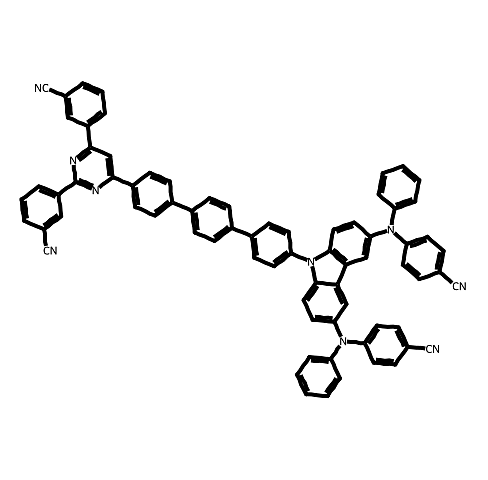 N#Cc1ccc(N(c2ccccc2)c2ccc3c(c2)c2cc(N(c4ccccc4)c4ccc(C#N)cc4)ccc2n3-c2ccc(-c3ccc(-c4ccc(-c5cc(-c6cccc(C#N)c6)nc(-c6cccc(C#N)c6)n5)cc4)cc3)cc2)cc1